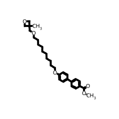 COC(=O)c1ccc(-c2ccc(OCCCCCCCCCCOCC3(C)COC3)cc2)cc1